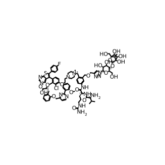 COc1ccccc1-c1nccc(COc2ccccc2C[C@@H](Oc2ncnc3sc(-c4ccc(F)cc4)c(-c4ccc(OCCN5CC[N+](C)(Cc6ccc(NC(=O)[C@H](CCCNC(N)=O)NC(=O)[C@@H](N)C(C)C)cc6COCc6cn([C@@H]7OC(CO)[C@@H](O[C@@H]8OC9(CO)C(C)C8(O)C(O)[C@H]9O)C(O)C7O)nn6)CC5)c(Cl)c4C)c23)C(=O)O)n1